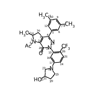 CC(=O)N1c2c(c(-c3cc(C)cc(C)c3)nn(-c3cc(N4CCC(O)C4)ccc3C(F)(F)F)c2=O)CC1C